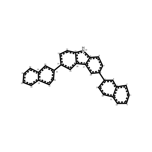 c1ccc2cc(-c3ccc4[nH]c5ccc(-c6ccc7ccccc7c6)cc5c4c3)ccc2c1